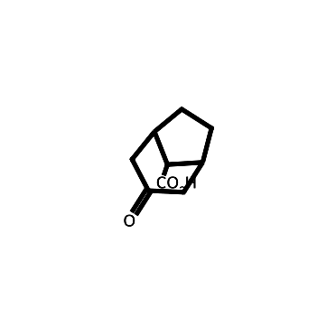 O=C1CC2CCC(C1)C2C(=O)O